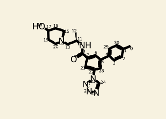 Cc1ccc(-c2cc(C(=O)N[C@H](C)CN3CCC(O)CC3)cc(-n3cnnn3)c2)cc1